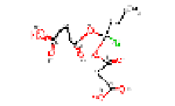 CCCC(Cl)(OC(=O)CC(=O)O)OC(=O)CC(=O)O